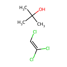 CC(C)(C)O.ClC=C(Cl)Cl